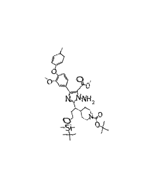 COC(=O)c1c(-c2ccc(OC3=CCC(C)C=C3)c(OC)c2)nc(C(CCO[Si](C)(C)C(C)(C)C)C2CCN(C(=O)OC(C)(C)C)CC2)n1N